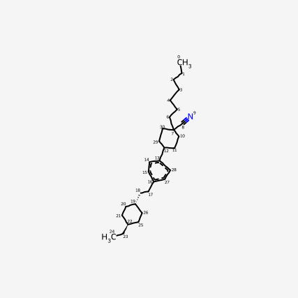 CCCCCCCC1(C#N)CCC(c2ccc(CC[C@H]3CC[C@H](CC)CC3)cc2)CC1